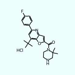 CC(C)(C)c1cc(-c2ccc(F)cc2)nc2cc(C(=O)N3CCNCC3(C)C)oc12.Cl